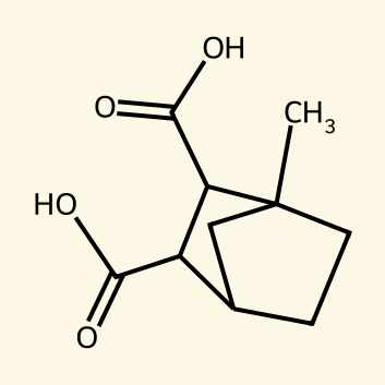 CC12CCC(C1)C(C(=O)O)C2C(=O)O